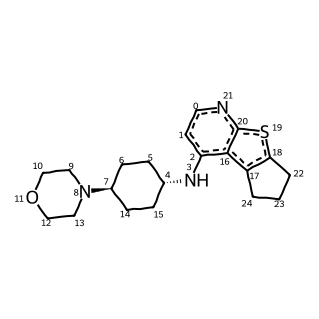 c1cc(N[C@H]2CC[C@H](N3CCOCC3)CC2)c2c3c(sc2n1)CCC3